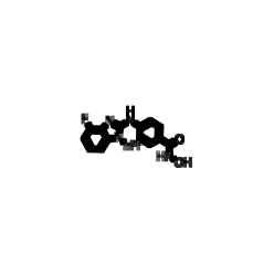 CCCn1c(Nc2ccc(C(=O)NO)cc2)nc2c(F)cccc21